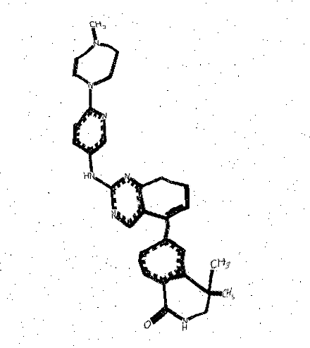 CN1CCN(c2ccc(Nc3ncc4c(n3)CCC=C4c3ccc4c(c3)C(C)(C)CNC4=O)cn2)CC1